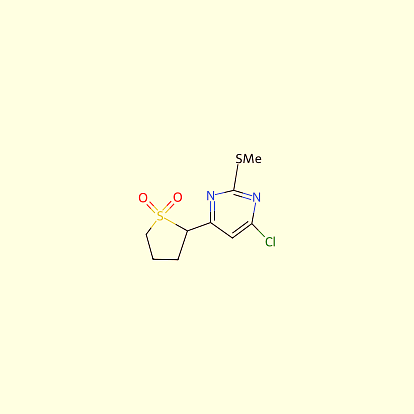 CSc1nc(Cl)cc(C2CCCS2(=O)=O)n1